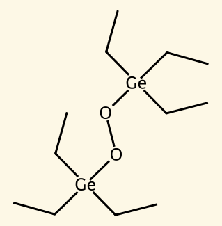 C[CH2][Ge]([CH2]C)([CH2]C)[O][O][Ge]([CH2]C)([CH2]C)[CH2]C